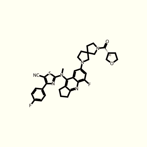 CN(c1nc(-c2ccc(F)cc2)c(C#N)s1)c1c2c(nc3c(F)cc(N4CCC5(CCN(C(=O)[C@@H]6CCOC6)C5)C4)cc13)CCC2